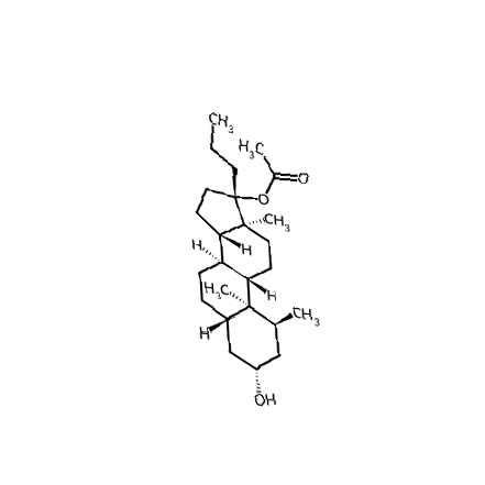 CCC[C@]1(OC(C)=O)CC[C@H]2[C@@H]3CC[C@H]4C[C@@H](O)C[C@H](C)[C@]4(C)[C@H]3CC[C@@]21C